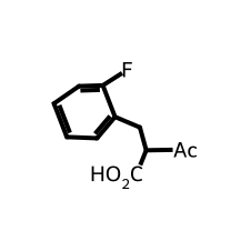 CC(=O)C(Cc1ccccc1F)C(=O)O